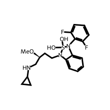 CO[C@@H](CCN1c2ccccc2N(c2c(F)cccc2F)S1(O)O)CNC1CC1